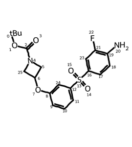 CC(C)(C)OC(=O)N1CC(Oc2cccc(S(=O)(=O)c3ccc(N)c(F)c3)c2)C1